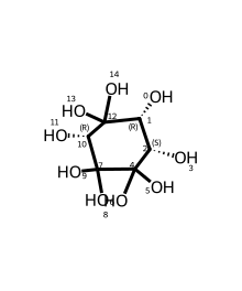 O[C@@H]1[C@H](O)C(O)(O)C(O)(O)[C@H](O)C1(O)O